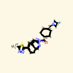 Cc1nnc(-c2ccc3cnc(NC(=O)[C@H]4CC[C@H](CN5CC(F)C5)CC4)cc3c2)s1